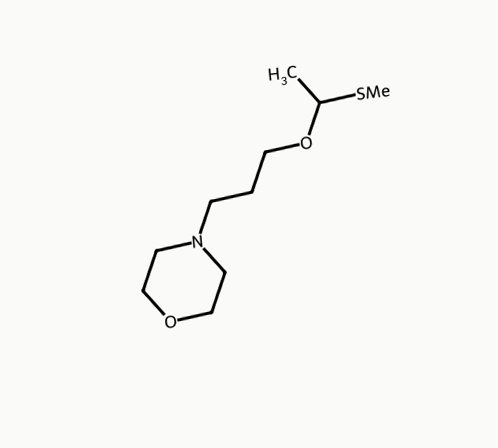 CSC(C)OCCCN1CCOCC1